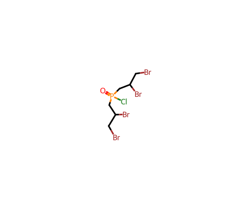 O=P(Cl)(CC(Br)CBr)CC(Br)CBr